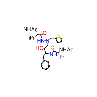 CC(=O)N[C@H](C(=O)NC(Cc1ccccc1)C(O)CN(Cc1cccs1)NC(=O)[C@@H](NC(C)=O)C(C)C)C(C)C